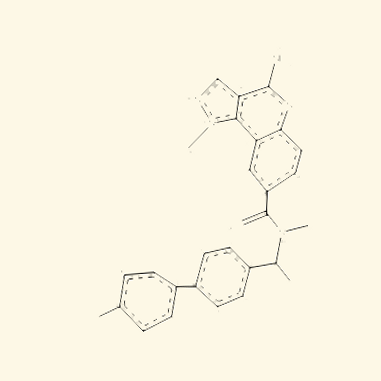 CC(c1ccc(-c2ccc(C(F)(F)F)cc2)cc1)N(C)C(=O)c1ccc2nc(N)c3cnn(C)c3c2c1